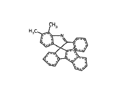 Cc1ccc2c(c1C)N=C(c1ccccc1)C21c2ccccc2-c2c1sc1ccccc21